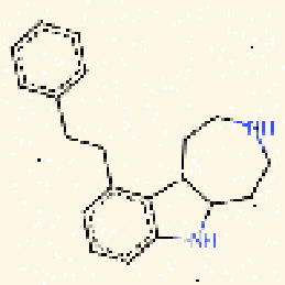 c1ccc(CCc2cccc3c2C2CCNCCC2N3)cc1